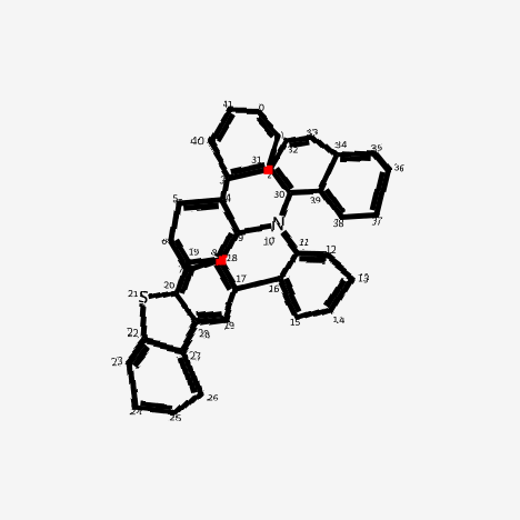 c1ccc(-c2ccccc2N(c2ccccc2-c2ccc3sc4ccccc4c3c2)c2cccc3ccccc23)cc1